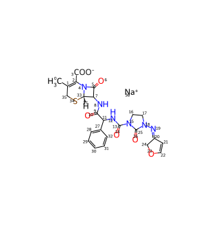 CC1=C(C(=O)[O-])N2C(=O)C(NC(=O)C(NC(=O)N3CCN(N=C4C=COC4)C3=O)c3ccccc3)[C@@H]2SC1.[Na+]